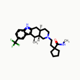 CNC(=O)C1(CCN2CC[C@@H]3Cc4[nH]c5ccc(C(F)(F)F)cc5c4[C@H](C)[C@H]3C2)CCCC1